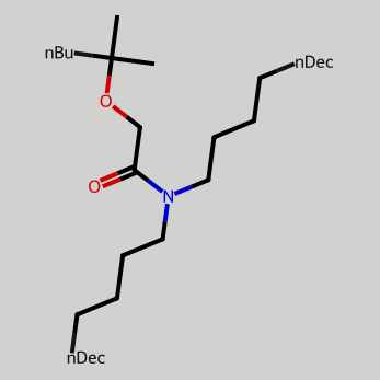 CCCCCCCCCCCCCCN(CCCCCCCCCCCCCC)C(=O)COC(C)(C)CCCC